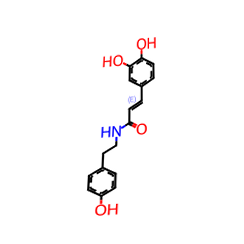 O=C(/C=C/c1ccc(O)c(O)c1)NCCc1ccc(O)cc1